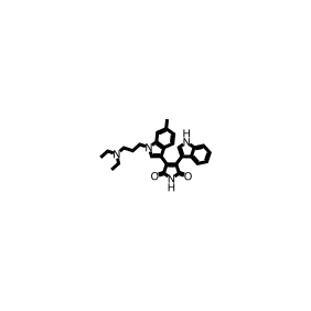 CCN(CC)CCCn1cc(C2=C(c3c[nH]c4ccccc34)C(=O)NC2=O)c2ccc(C)cc21